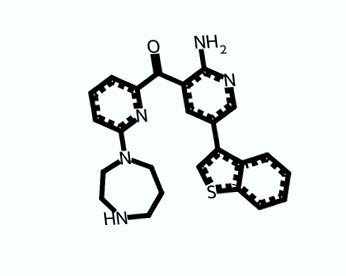 Nc1ncc(-c2csc3ccccc23)cc1C(=O)c1cccc(N2CCCNCC2)n1